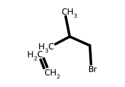 C=C.CC(C)CBr